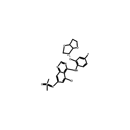 CS(C)(=O)=Nc1cc(Cl)c2c(Nc3ccc(F)cc3O[C@@H]3COC4CCOC43)ncnc2c1